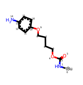 CC(C)(C)NC(=O)OCCCCOc1ccc(N)cc1